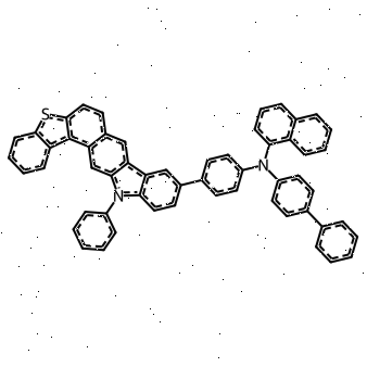 c1ccc(-c2ccc(N(c3ccc(-c4ccc5c(c4)c4cc6ccc7sc8ccccc8c7c6cc4n5-c4ccccc4)cc3)c3cccc4ccccc34)cc2)cc1